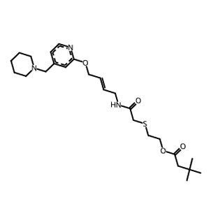 CC(C)(C)CC(=O)OCCSCC(=O)NCC=CCOc1cc(CN2CCCCC2)ccn1